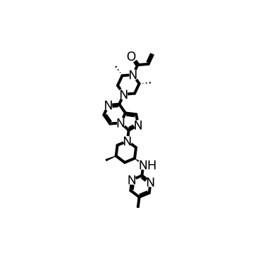 C=CC(=O)N1[C@H](C)CN(c2nccn3c(N4C[C@H](C)C[C@@H](Nc5ncc(C)cn5)C4)ncc23)C[C@@H]1C